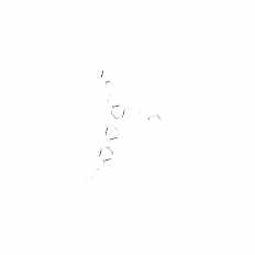 C=C(CO)C(=O)OCCc1cc(CCOC(=O)C(=C)CO)cc(-c2ccc(-c3ccc(OCCCC)cc3)cc2)c1